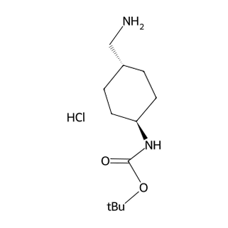 CC(C)(C)OC(=O)N[C@H]1CC[C@H](CN)CC1.Cl